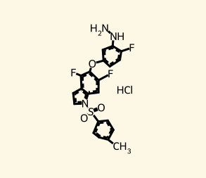 Cc1ccc(S(=O)(=O)n2ccc3c(F)c(Oc4ccc(F)c(NN)c4)c(F)cc32)cc1.Cl